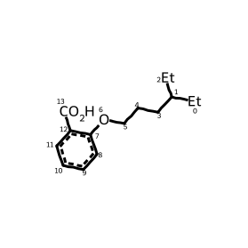 CCC(CC)CCCOc1ccccc1C(=O)O